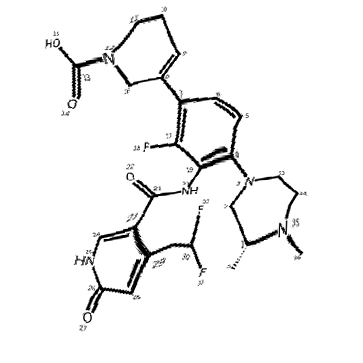 C[C@@H]1CN(c2ccc(C3=CCCN(C(=O)O)C3)c(F)c2NC(=O)c2c[nH]c(=O)cc2C(F)F)CCN1C